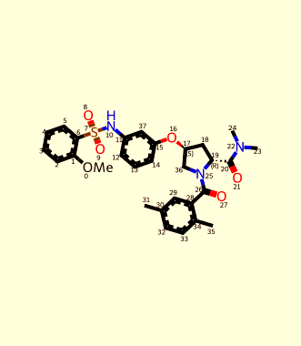 COc1ccccc1S(=O)(=O)Nc1cccc(O[C@H]2C[C@H](C(=O)N(C)C)N(C(=O)c3cc(C)ccc3C)C2)c1